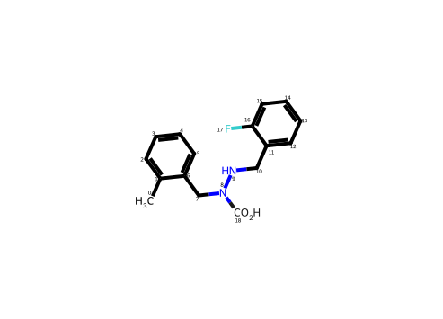 Cc1ccccc1CN(NCc1ccccc1F)C(=O)O